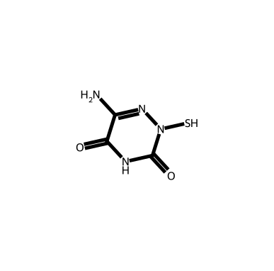 Nc1nn(S)c(=O)[nH]c1=O